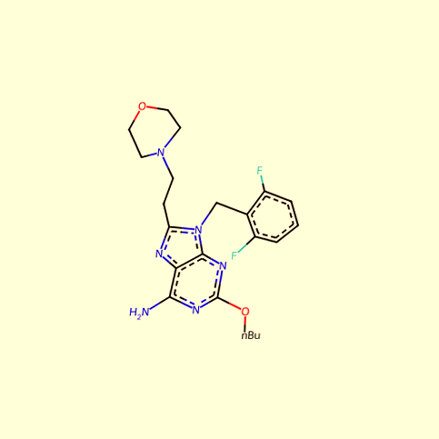 CCCCOc1nc(N)c2nc(CCN3CCOCC3)n(Cc3c(F)cccc3F)c2n1